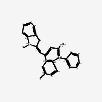 CCCCc1cc(/C=C2\Cc3ccccc3N2C)c2cc(C)ccc2[n+]1-c1ccccc1